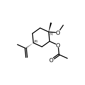 C=C(C)[C@@H]1CC[C@](C)(OC)C(OC(C)=O)C1